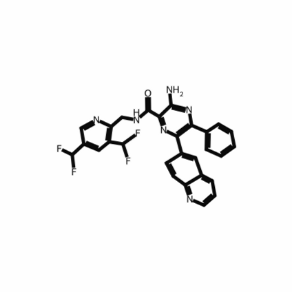 Nc1nc(-c2ccccc2)c(-c2ccc3ncccc3c2)nc1C(=O)NCc1ncc(C(F)F)cc1C(F)F